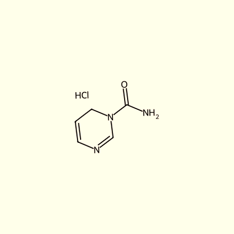 Cl.NC(=O)N1C=NC=CC1